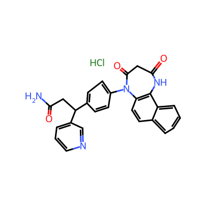 Cl.NC(=O)CC(c1ccc(N2C(=O)CC(=O)Nc3c2ccc2ccccc32)cc1)c1cccnc1